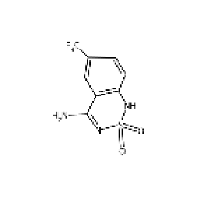 NC1=NS(=O)(=O)Nc2ccc(C(F)(F)F)cc21